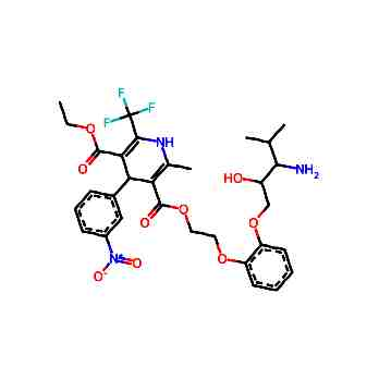 CCOC(=O)C1=C(C(F)(F)F)NC(C)=C(C(=O)OCCOc2ccccc2OCC(O)C(N)C(C)C)C1c1cccc([N+](=O)[O-])c1